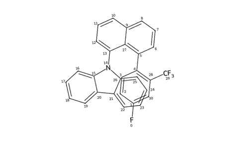 Fc1ccc(-c2cccc3cccc(-n4c5ccccc5c5ccccc54)c23)c(C(F)(F)F)c1